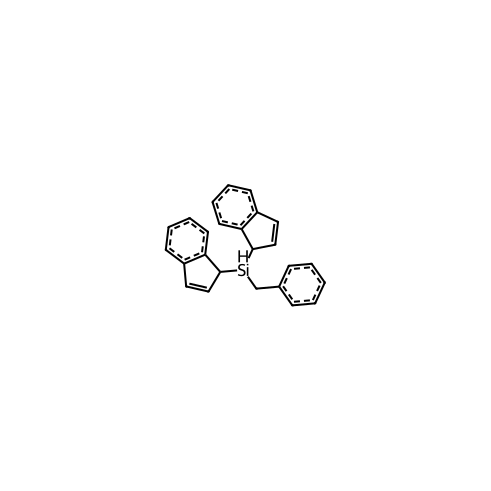 C1=CC([SiH](Cc2ccccc2)C2C=Cc3ccccc32)c2ccccc21